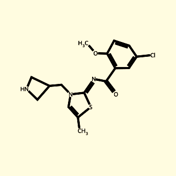 COc1ccc(Cl)cc1C(=O)/N=c1\sc(C)cn1CC1CNC1